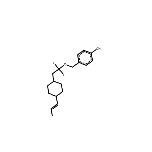 CC=CC1CCC(CC(F)(F)OCc2ccc(C#N)cc2)CC1